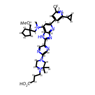 COCC1(CN(C)c2cc(-c3cc(C4CC4)nc(C(F)(F)F)c3)nc3nc(-c4cnc(N5CCN(CCCC(=O)O)C(C)(C)C5)cn4)[nH]c23)CCCC1